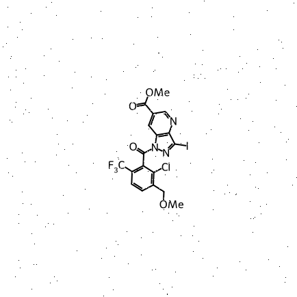 COCc1ccc(C(F)(F)F)c(C(=O)n2nc(I)c3ncc(C(=O)OC)cc32)c1Cl